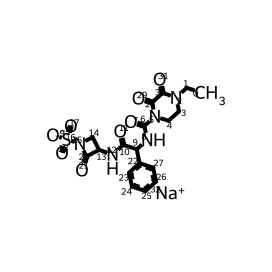 CCN1CCN(C(=O)NC(C(=O)NC2CN(S(=O)(=O)[O-])C2=O)c2ccccc2)C(=O)C1=O.[Na+]